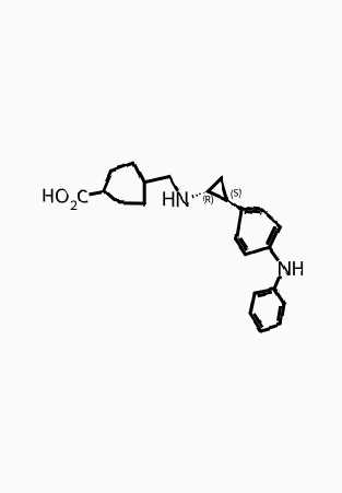 O=C(O)C1CCC(CN[C@@H]2C[C@H]2c2ccc(Nc3ccccc3)cc2)CC1